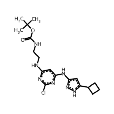 CC(C)(C)OC(=O)NCCNc1cc(Nc2cc(C3CCC3)[nH]n2)nc(Cl)n1